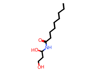 CCCCCCCCC(=O)NC(O)CCO